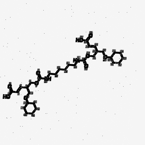 O=C(O)C=CC(COC(=O)NCCCCCCNC(=O)OCC(C=CC(=O)O)COC1CCCCC1)COC1CCCCC1